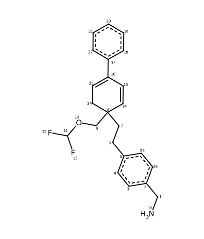 NCc1ccc(CCC2(COC(F)F)C=CC(c3ccccc3)=CC2)cc1